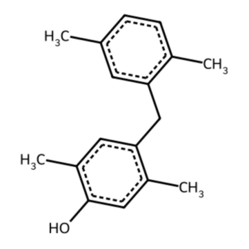 Cc1ccc(C)c(Cc2cc(C)c(O)cc2C)c1